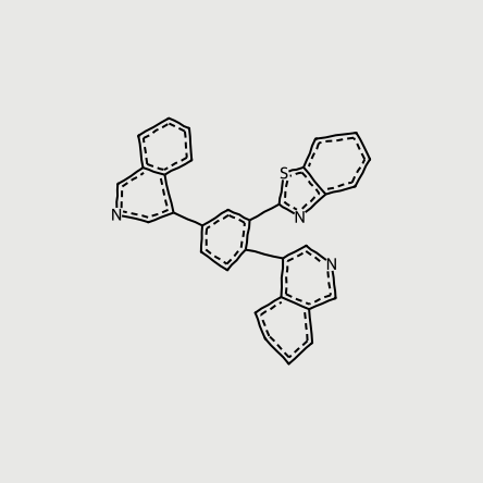 c1ccc2c(-c3ccc(-c4cncc5ccccc45)c(-c4nc5ccccc5s4)c3)cncc2c1